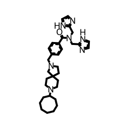 O=C(c1ccc(CN2CCC3(CCN(C4CCCCCCC4)CC3)C2)cc1)N(Cc1ncc[nH]1)Cc1ncc[nH]1